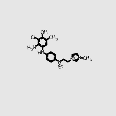 CCN(CC[n+]1ccn(C)c1)c1ccc(Nc2cc(C)c(O)c(Cl)c2N)cc1